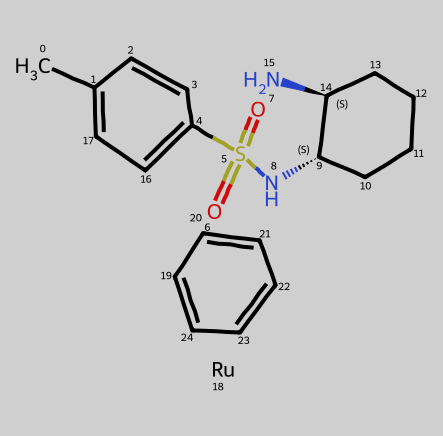 Cc1ccc(S(=O)(=O)N[C@H]2CCCC[C@@H]2N)cc1.[Ru].c1ccccc1